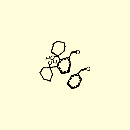 O=Cc1cccc(C2(O)CCCCC2)c1C1(O)CCCCC1.O=Cc1ccccc1